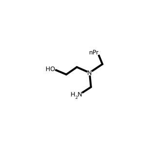 CCCCN(CN)CCO